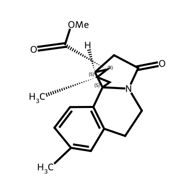 COC(=O)[C@@H]1[C@@H](C)CC23c4ccc(C)cc4CCN2C(=O)C[C@@H]13